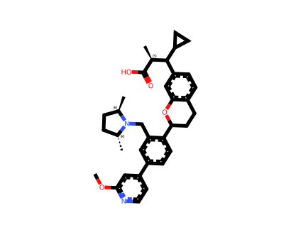 COc1cc(-c2ccc(C3CCc4ccc(C(C5CC5)[C@H](C)C(=O)O)cc4O3)c(CN3[C@H](C)CC[C@H]3C)c2)ccn1